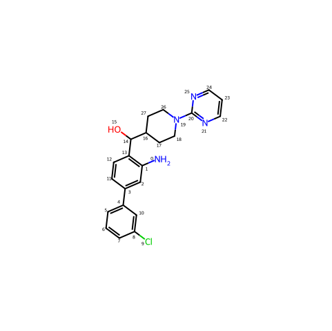 Nc1cc(-c2cccc(Cl)c2)ccc1C(O)C1CCN(c2ncccn2)CC1